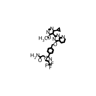 COc1ncnc(C2CC2)c1-c1nc(OCc2ccc(-c3nc(C(F)(F)F)cn3CC(N)=O)cc2)c2cccnc2n1